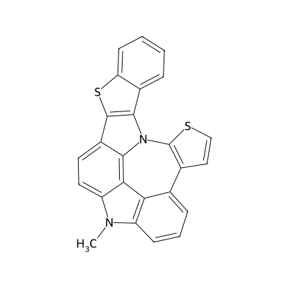 Cn1c2cccc3c4ccsc4n4c5c6ccccc6sc5c5ccc1c(c32)c54